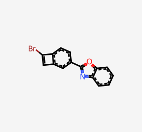 BrC1=Cc2cc(-c3nc4ccccc4o3)ccc21